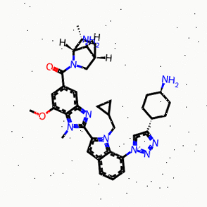 COc1cc(C(=O)N2C[C@H]3C[C@@H](C)[C@@H]2[C@@H]3N)cc2nc(-c3cc4cccc(-n5cc([C@H]6CC[C@H](N)CC6)nn5)c4n3CC3CC3)n(C)c12